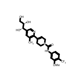 COc1cc(NC(=O)N2CC=C(c3ncc([C@H](O)[C@@H](O)CO)cc3C)CC2)ccc1C(F)(F)F